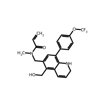 C=CC(=O)N(C)Cc1cc(-c2ccc(OC(F)(F)F)cc2)c2c(c1CO)C=CCN2